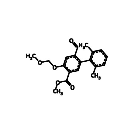 COCOc1cc(C=O)c(-c2c(C)cccc2C)cc1C(=O)OC